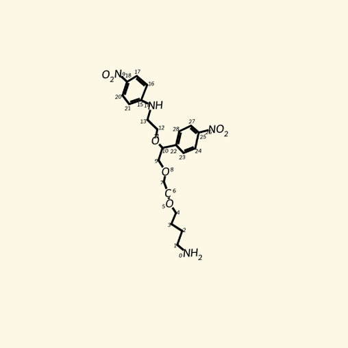 NCCCCOCCOCC(OCCNc1ccc([N+](=O)[O-])cc1)c1ccc([N+](=O)[O-])cc1